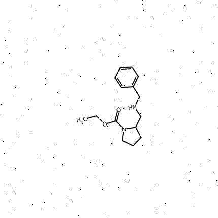 CCOC(=O)N1CCCC1CNCc1ccccc1